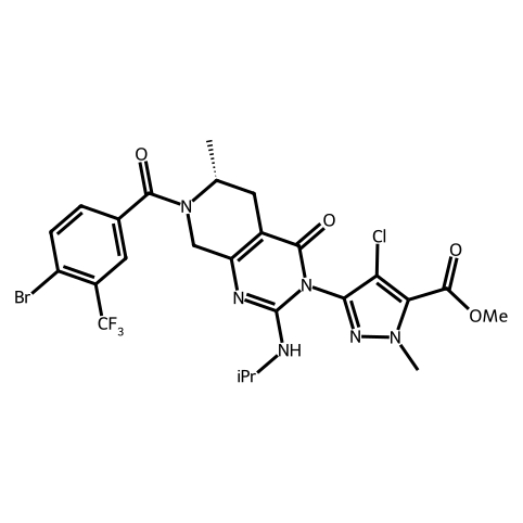 COC(=O)c1c(Cl)c(-n2c(NC(C)C)nc3c(c2=O)C[C@@H](C)N(C(=O)c2ccc(Br)c(C(F)(F)F)c2)C3)nn1C